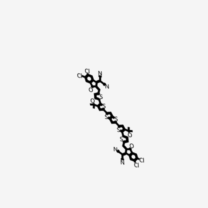 CC1(C)Oc2cc(/C=C3\C(=O)c4cc(Cl)c(Cl)cc4C3=C(C#N)C#N)sc2-c2sc(-c3cc4sc(-c5cc6c(s5)-c5sc(/C=C7\C(=O)c8cc(Cl)c(Cl)cc8C7=C(C#N)C#N)cc5OC6(C)C)cc4s3)cc21